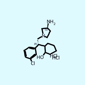 Cl.Cl.N[C@H]1CCN(C[C@@H](c2cccc(Cl)c2)C2CCCCC2O)C1